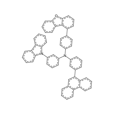 c1cc(-c2cc3ccccc3c3ccccc23)cc(N(c2ccc(-c3cccc4oc5ccccc5c34)cc2)c2cccc(-n3c4ccccc4c4ccccc43)c2)c1